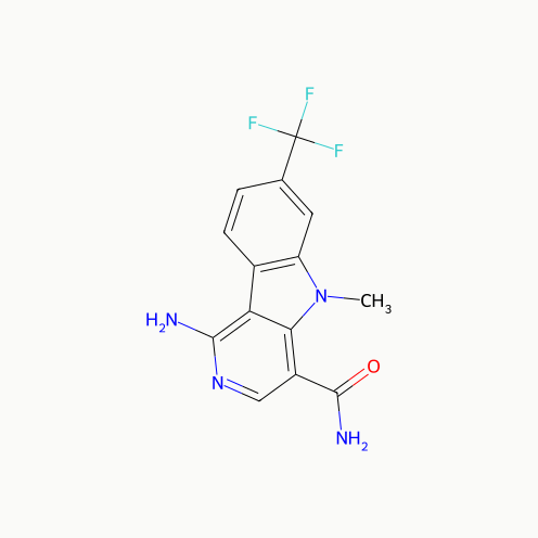 Cn1c2cc(C(F)(F)F)ccc2c2c(N)ncc(C(N)=O)c21